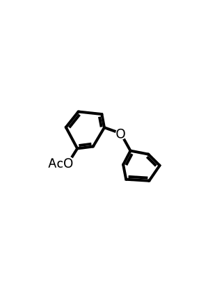 CC(=O)Oc1cccc(Oc2ccccc2)c1